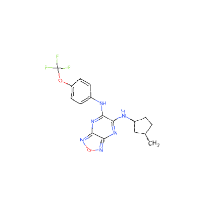 CC1CCC(Nc2nc3nonc3nc2Nc2ccc(OC(F)(F)F)cc2)C1